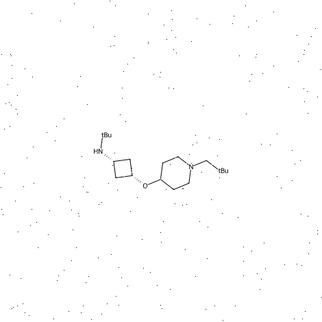 CC(C)(C)CN1CCC(O[C@H]2C[C@@H](NC(C)(C)C)C2)CC1